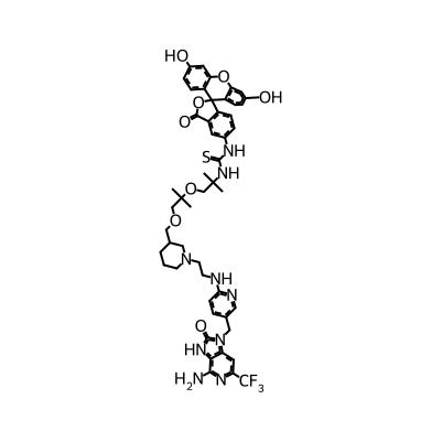 CC(C)(COC(C)(C)COCC1CCCN(CCNc2ccc(Cn3c(=O)[nH]c4c(N)nc(C(F)(F)F)cc43)cn2)C1)NC(=S)Nc1ccc2c(c1)C(=O)OC21c2ccc(O)cc2Oc2cc(O)ccc21